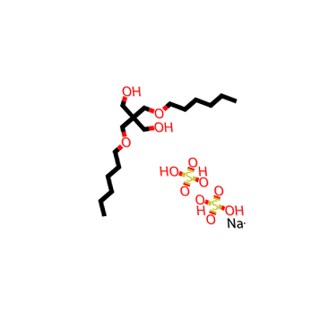 CCCCCCOCC(CO)(CO)COCCCCCC.O=S(=O)(O)O.O=S(=O)(O)O.[Na]